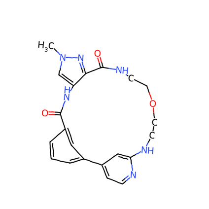 Cn1cc2c(n1)C(=O)NCCOCCNc1cc(ccn1)-c1cccc(c1)C(=O)N2